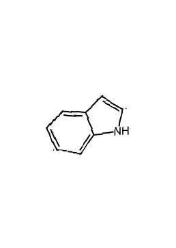 [c]1ccc2c[c][nH]c2c1